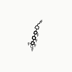 FCCCC1CCC(c2ccc(-c3ccc(-c4cc(F)c(OCF)c(F)c4)c(F)c3)c(F)c2)CC1